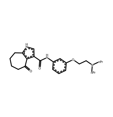 CCCN(CCC)CCOc1cccc(NC(=O)c2c[nH]c3c2C(=O)CCCC3)c1